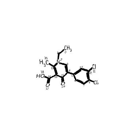 CCn1cc(-c2ccc(Cl)c(Cl)c2)c(=O)c(C(=O)O)c1C